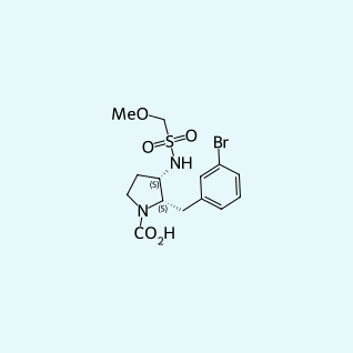 COCS(=O)(=O)N[C@H]1CCN(C(=O)O)[C@H]1Cc1cccc(Br)c1